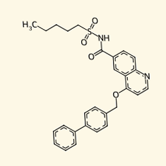 CCCCCS(=O)(=O)NC(=O)c1ccc2nccc(OCc3ccc(-c4ccccc4)cc3)c2c1